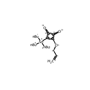 C=CCOc1[c]([Sn]([CH2]CCC)([CH2]CCC)[CH2]CCC)c(=O)c1=O